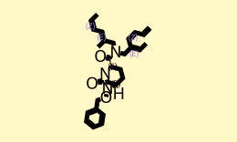 C=C/C=C\C(=C/C)CN(C/C(C)=C/C=C\C)C(=O)[C@@H]1CC[C@@H]2CN1C(=O)N2OCc1ccccc1